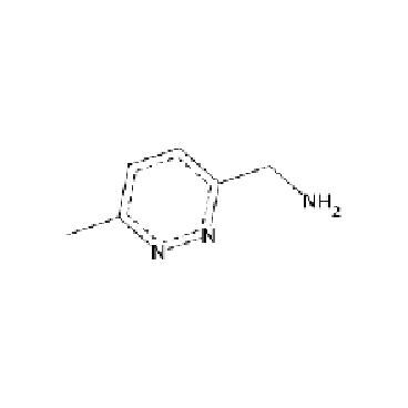 Cc1ccc(CN)nn1